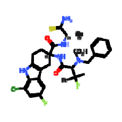 CC[C@H](C)[C@H](NC(=O)[C@@]1(NC(=O)C(N(Cc2ccccc2)C(=O)O)C(C)(F)CC)CCc2[nH]c3c(Cl)cc(F)cc3c2C1)C(N)=S